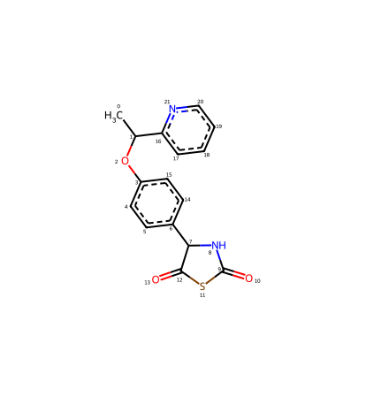 CC(Oc1ccc(C2NC(=O)SC2=O)cc1)c1ccccn1